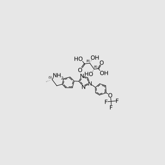 C[C@H](N)Cc1ccc(-c2ncn(-c3ccc(OC(F)(F)F)cc3)n2)cc1.O=C(O)[C@H](O)[C@@H](O)C(=O)O